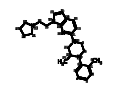 Cc1ccccc1N1CCN(c2ccc3ccn(CCN4CCCC4)c3n2)C[C@@H]1C